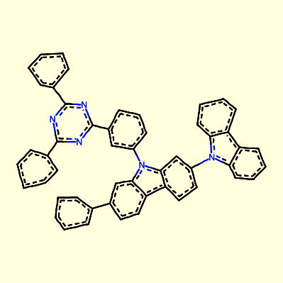 c1ccc(-c2ccc3c4ccc(-n5c6ccccc6c6ccccc65)cc4n(-c4cccc(-c5nc(-c6ccccc6)nc(-c6ccccc6)n5)c4)c3c2)cc1